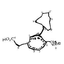 COc1ccc(CC(=O)O)cc1C1CCCCC1